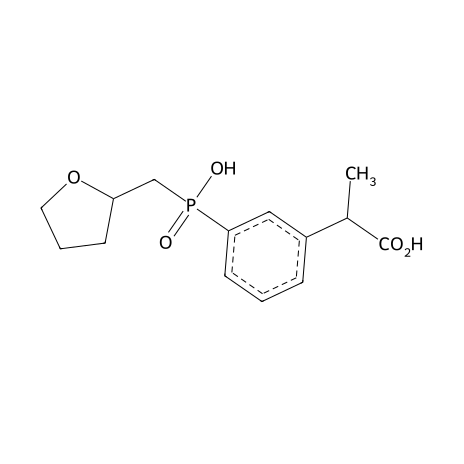 CC(C(=O)O)c1cccc(P(=O)(O)CC2CCCO2)c1